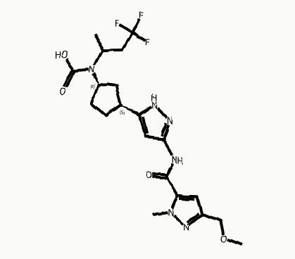 COCc1cc(C(=O)Nc2cc([C@H]3CC[C@@H](N(C(=O)O)C(C)CC(F)(F)F)C3)[nH]n2)n(C)n1